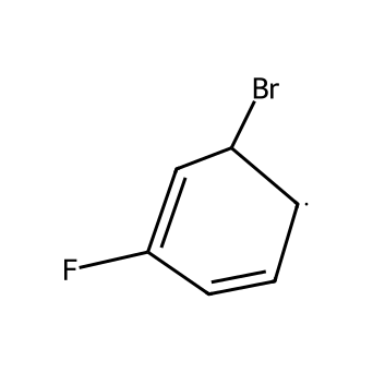 FC1=CC(Br)[CH]C=C1